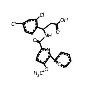 COc1ccc(C(=O)NC(CC(=O)O)c2ccc(Cl)cc2Cl)nc1-c1ccccc1